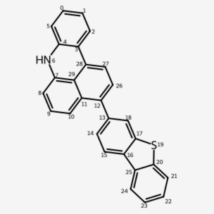 c1ccc2c(c1)Nc1cccc3c(-c4ccc5c(c4)sc4ccccc45)ccc-2c13